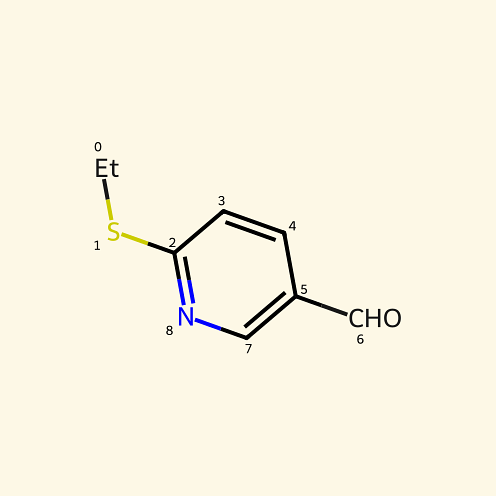 CCSc1ccc(C=O)cn1